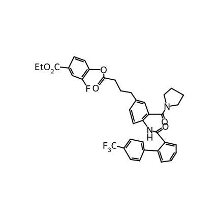 CCOC(=O)c1ccc(OC(=O)CCCc2ccc(NC(=O)c3ccccc3-c3ccc(C(F)(F)F)cc3)c(C(=O)N3CCCC3)c2)c(F)c1